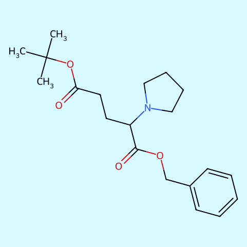 CC(C)(C)OC(=O)CCC(C(=O)OCc1ccccc1)N1CCCC1